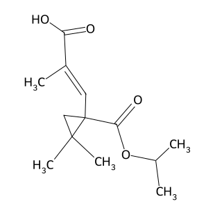 CC(=CC1(C(=O)OC(C)C)CC1(C)C)C(=O)O